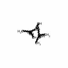 CCCCCCCCC(CCCCCC)(CCCCCO[C@H]1CN(CCO)C[C@H]1OCCCCCC(CCCCCC)(CCCCCCCC)C(=O)O)C(=O)O